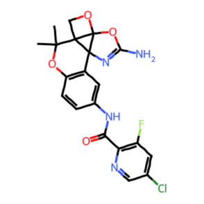 CC1(C)Oc2ccc(NC(=O)c3ncc(Cl)cc3F)cc2C23N=C(N)OC24OCC143